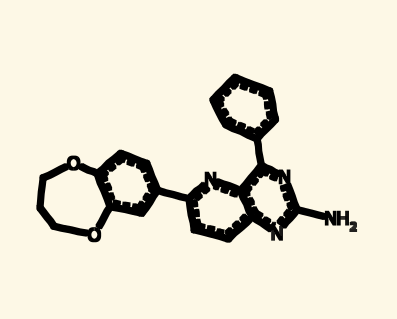 Nc1nc(-c2ccccc2)c2nc(-c3ccc4c(c3)OCCCO4)ccc2n1